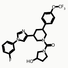 O=C(N1CCC(O)C1)N1CC(c2ccc(OC(F)(F)F)cc2)CC(c2cn(-c3cccc(F)c3)cn2)C1